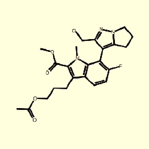 COC(=O)c1c(CCCOC(C)=O)c2ccc(F)c(-c3c(CCl)nn4c3CCC4)c2n1C